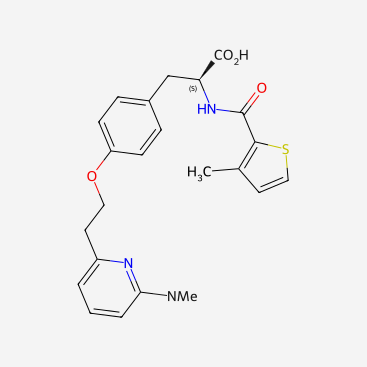 CNc1cccc(CCOc2ccc(C[C@H](NC(=O)c3sccc3C)C(=O)O)cc2)n1